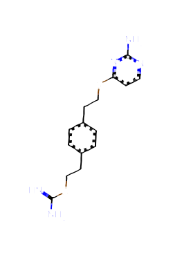 N=C(N)SCCc1ccc(CCSc2ccnc(N)n2)cc1